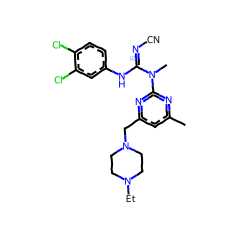 CCN1CCN(Cc2cc(C)nc(N(C)/C(=N\C#N)Nc3ccc(Cl)c(Cl)c3)n2)CC1